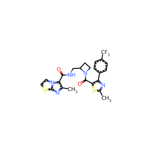 Cc1nc(-c2ccc(C(F)(F)F)cc2)c(C(=O)N2CCC2CNC(=O)c2c(C)nc3sccn23)s1